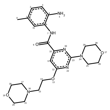 Cc1ccc(N)c(NC(=O)c2cc(OCCN3CCOCC3)nc(N3CCOCC3)n2)c1